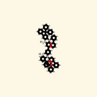 Cc1cc(-c2ccc(N(c3ccc4c(c3)C(c3ccccc3)(c3ccccc3)c3ccccc3-4)c3ccccc3-c3ccccc3)c(C)c2)ccc1N(c1ccc2c(c1)C(c1ccccc1)(c1ccccc1)c1ccccc1-2)c1ccccc1-c1ccccc1